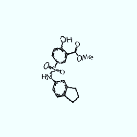 COC(=O)c1cc(S(=O)(=O)Nc2ccc3c(c2)CCC3)ccc1O